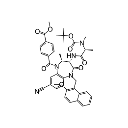 COC(=O)c1ccc(C(=O)N2c3cc(C#N)ccc3N(Cc3c(OC)ccc4ccccc34)C(=O)[C@@H](NC(=O)[C@H](C)N(C)C(=O)OC(C)(C)C)[C@@H]2C)cc1